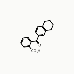 O=C(O)c1ccccc1C(=O)c1ccc2c(c1)CCCC2